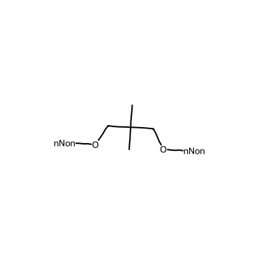 CCCCCCCCCOCC(C)(C)COCCCCCCCCC